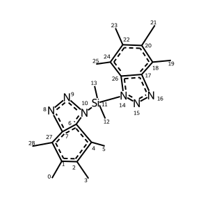 Cc1c(C)c(C)c2c(nnn2[Si](C)(C)n2nnc3c(C)c(C)c(C)c(C)c32)c1C